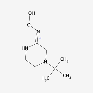 CC(C)(C)N1CCN/C(=N\OO)C1